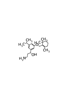 CC1=C(COc2cc(C(C)C)cc(C(O)CCN)c2)C(C)(C)CCC1